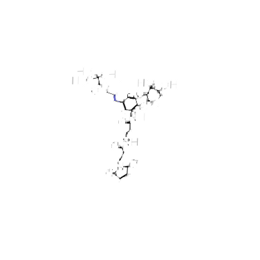 CC(C)(C)C(=O)OC/C=C/c1ccc(O[C@@H]2OC[C@@H](O)[C@H](O)[C@H]2O)c(NC(=O)CCNC(=O)CCN2C(=O)C=CC2=O)c1